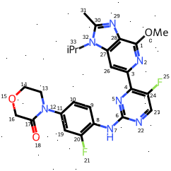 COc1nc(-c2nc(Nc3ccc(N4CCOCC4=O)cc3F)ncc2F)cc2c1nc(C)n2C(C)C